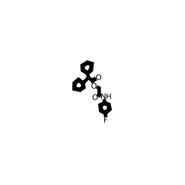 O=C(COC(=O)C(c1ccccc1)c1ccccc1)Nc1ccc(F)cc1